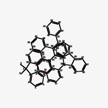 CC1(C)c2ccccc2-c2c(N(c3ccccc3-n3c4ccccc4c4ccccc43)c3cccc(-c4ccccc4)c3-c3ccccc3-c3ccccc3)cccc21